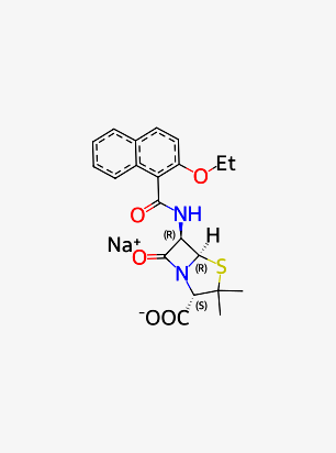 CCOc1ccc2ccccc2c1C(=O)N[C@@H]1C(=O)N2[C@@H]1SC(C)(C)[C@@H]2C(=O)[O-].[Na+]